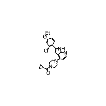 CCOc1ccc(-c2cc3c(N4CCN(C(=O)C5CC5)CC4)ccnc3[nH]2)c(Cl)c1